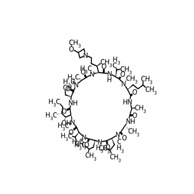 CC[C@@H]1NC(=O)[C@H]([C@H](O)[C@H](C)CC)N(C)C(=O)[C@H](C(C)C)N(C)C(=O)[C@H](CC(C)C)N(C)C(=O)[C@H](CC(C)C)N(C)C(=O)[C@@H](C)NC(=O)[C@H](C)NC(=O)[C@H](CCC(C)C)N(C)C(=O)[C@H](C(C)C)NC(=O)[C@H]([C@H](C)CCN2CC(OC)C2)N(C)C(=O)[C@@H](C)N(C)C1=O